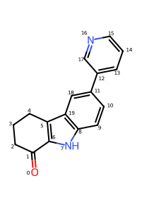 O=C1CCCc2c1[nH]c1ccc(-c3cccnc3)cc21